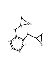 [CH](c1ccccc1CC1CO1)C1CO1